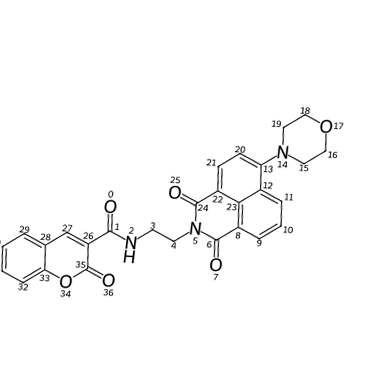 O=C(NCCN1C(=O)c2cccc3c(N4CCOCC4)ccc(c23)C1=O)c1cc2ccccc2oc1=O